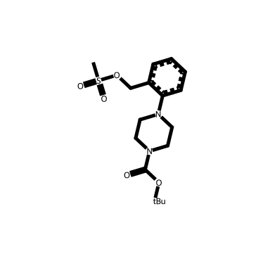 CC(C)(C)OC(=O)N1CCN(c2ccccc2COS(C)(=O)=O)CC1